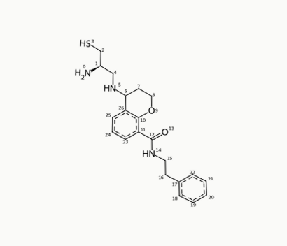 N[C@@H](CS)CNC1CCOc2c(C(=O)NCCc3ccccc3)cccc21